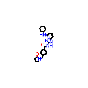 O=C(Nc1nc2cccc(NC3CCCCC3)n2n1)c1ccc(CN2CCCC2=O)cc1